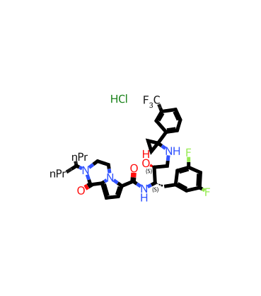 CCCC(CCC)N1CCn2c(C(=O)N[C@@H](Cc3cc(F)cc(F)c3)[C@@H](O)CNC3(c4cccc(C(F)(F)F)c4)CC3)ccc2C1=O.Cl